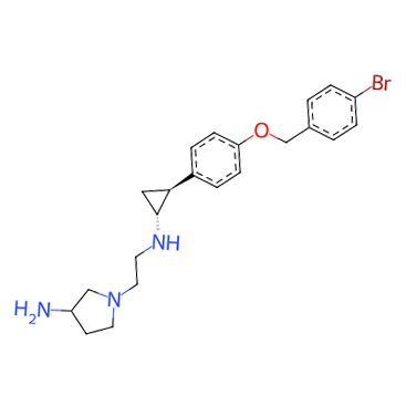 NC1CCN(CCN[C@@H]2C[C@H]2c2ccc(OCc3ccc(Br)cc3)cc2)C1